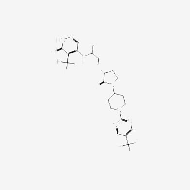 CC(CO[C@H]1CCN(C2CCN(c3ncc(C(F)(F)F)cn3)CC2)C1=O)Nc1cn[nH]c(=O)c1C(F)(F)F